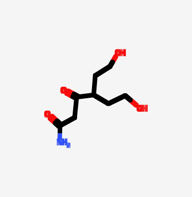 NC(=O)CC(=O)C(CCO)CCO